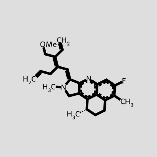 C=CCC(/C=C1/c2nc3cc(F)c(C)c4c3c(c2CN1C)[C@@H](C)CC4)=C(/C=C)COC